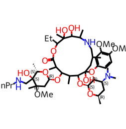 CCCNC[C@]1(O)[C@H](C)O[C@@H](OC2C(C)C(=O)OC(CC)C(C)(O)C(O)C(C)NCC(C)CC(C)(O)C(O[C@@H]3O[C@H](C)C[C@H](N(C)C)[C@H]3Oc3ccc(OC)c(OC)c3)C2C)C[C@@]1(C)OC